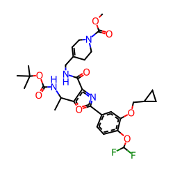 COC(=O)N1CC=C(CNC(=O)c2nc(-c3ccc(OC(F)F)c(OCC4CC4)c3)oc2C(C)NC(=O)OC(C)(C)C)CC1